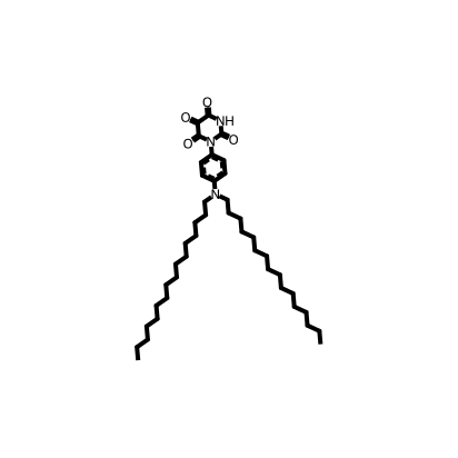 CCCCCCCCCCCCCCCCN(CCCCCCCCCCCCCCCC)c1ccc(N2C(=O)NC(=O)C(=O)C2=O)cc1